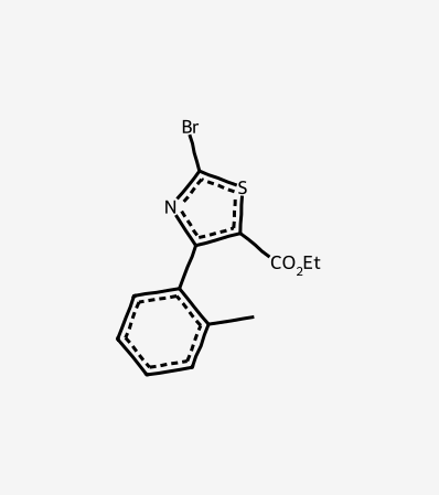 CCOC(=O)c1sc(Br)nc1-c1ccccc1C